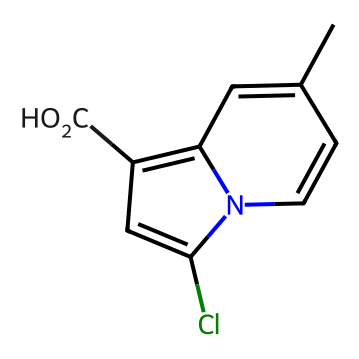 Cc1ccn2c(Cl)cc(C(=O)O)c2c1